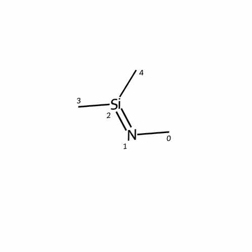 CN=[Si](C)C